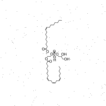 CCCCC/C=C\C/C=C\C/C=C\CCCCCCC(=O)O[C@H](COC(=O)CCCCCCC/C=C\CCCCCCC)COP(=O)(O)OC[C@@H](O)CO